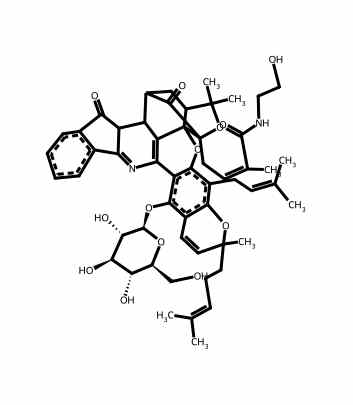 CC(C)=CCCC1(C)C=Cc2c(c(CC=C(C)C)c3c(c2O[C@H]2O[C@@H](CO)[C@H](O)[C@@H](O)[C@@H]2O)C2=C4C(C5CC6C(C)(C)OC(C/C=C(/C)C(=O)NCCO)(C5=O)C46O3)C3C(=O)c4ccccc4C3=N2)O1